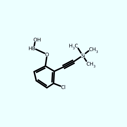 C[Si](C)(C)C#Cc1c(Cl)cccc1OBO